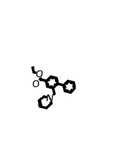 CCOC(=O)c1ccc(-c2ccccc2)c(CN2CC=CCC2)c1